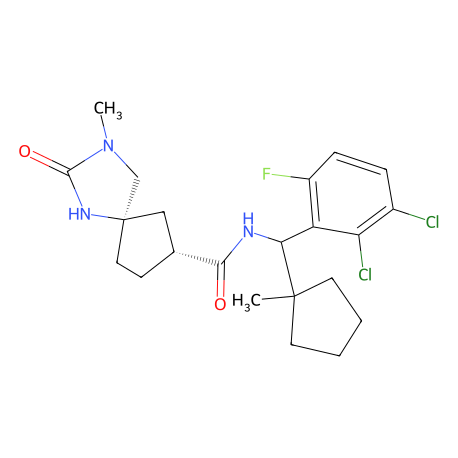 CN1C[C@]2(CC[C@@H](C(=O)NC(c3c(F)ccc(Cl)c3Cl)C3(C)CCCC3)C2)NC1=O